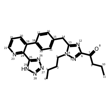 CCCCn1nc(C(=O)CCC)nc1Cc1ccc(-c2cccnc2-c2nnn[nH]2)cc1